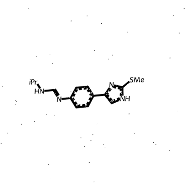 CSc1nc(-c2ccc(N=CNC(C)C)cc2)c[nH]1